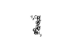 COc1ccccc1-c1cccnc1Oc1ccc(C(F)(F)Cn2cc(C)cn2)nc1